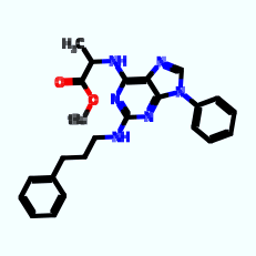 CC(Nc1nc(NCCCc2ccccc2)nc2c1ncn2-c1ccccc1)C(=O)OC(C)(C)C